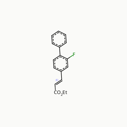 CCOC(=O)/C=C/c1ccc(-c2ccccc2)c(F)c1